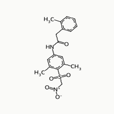 Cc1ccccc1CC(=O)Nc1cc(C)c(S(=O)(=O)C[N+](=O)[O-])c(C)c1